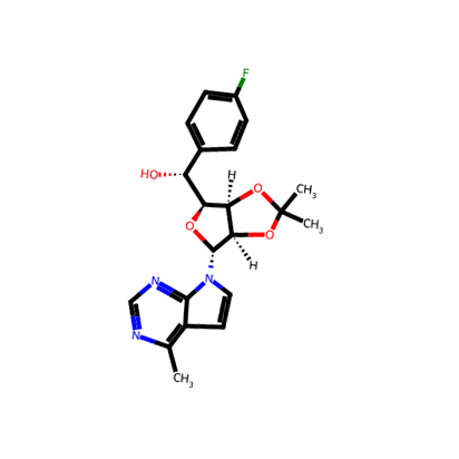 Cc1ncnc2c1ccn2[C@@H]1O[C@@H]([C@H](O)c2ccc(F)cc2)[C@H]2OC(C)(C)O[C@H]21